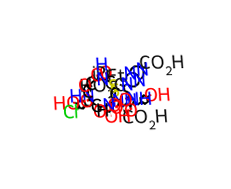 CCC(=O)[C@@H]1CSSC[C@H](NC(=O)[C@@H](CCC(=O)O)CC(=O)[C@H](Cc2ccc(O)cc2)NC(=O)CCC(C(=O)O)N2CCCN3CCN(CCCN(CC(=O)O)CC3)CC2)C(=O)N2C[C@H](O)C[C@H]2C(=O)C[C@@H](Cc2ccc(O)c(Cl)c2)C(=O)NCC(=O)C[C@@H](CC(C)C)C(=O)N1